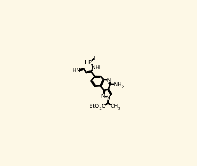 CCOC(=O)C(C)n1cc2c(N)nc3cc(/C(=C/C=N)NPI)ccc3c2n1